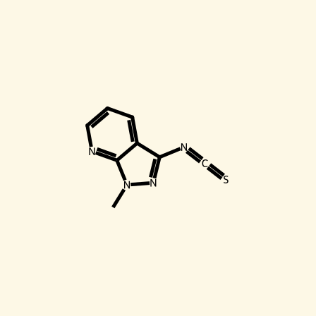 Cn1nc(N=C=S)c2cccnc21